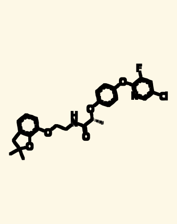 C[C@@H](Oc1ccc(Oc2ncc(Cl)cc2F)cc1)C(=O)NCCOc1cccc2c1OC(C)(C)C2